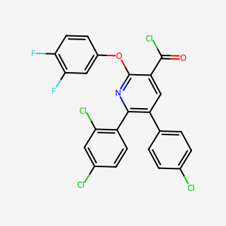 O=C(Cl)c1cc(-c2ccc(Cl)cc2)c(-c2ccc(Cl)cc2Cl)nc1Oc1ccc(F)c(F)c1